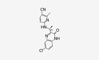 Cc1nc(N[C@@H](C)c2nc3cc(Cl)ccc3[nH]c2=O)ccc1C#N